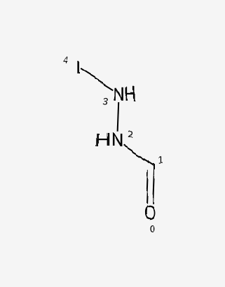 O=CNNI